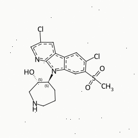 CS(=O)(=O)c1cc2c(cc1Cl)c1cc(Cl)cnc1n2[C@H]1CCCNC[C@@H]1O